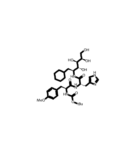 COc1ccc(C[C@H](NC(=O)OC(C)(C)C)C(=O)N[C@@H](Cc2c[nH]cn2)C(=O)N[C@@H](CC2CCCCC2)[C@@H](O)[C@@H](O)[C@H](O)CO)cc1